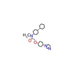 CN(C(=O)COc1ccc(-n2ccnc2)cc1)c1ccc(-c2ccccc2)cc1